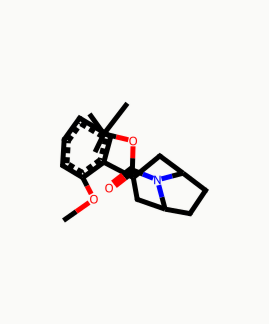 COc1ccccc1C1CC2CCC(C1)N2C(=O)OC(C)(C)C